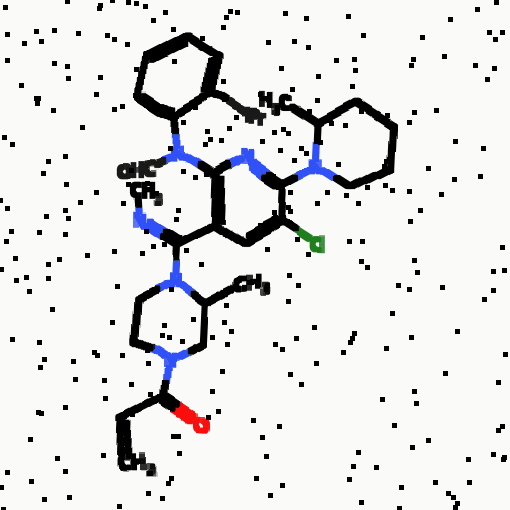 C=CC(=O)N1CCN(/C(=N/C)c2cc(Cl)c(N3CCCCC3C)nc2N(C=O)c2ccccc2C(C)C)C(C)C1